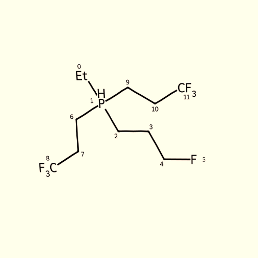 CC[PH](CCCF)(CCC(F)(F)F)CCC(F)(F)F